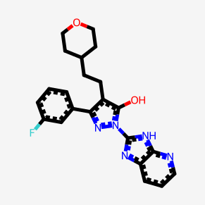 Oc1c(CCC2CCOCC2)c(-c2cccc(F)c2)nn1-c1nc2cccnc2[nH]1